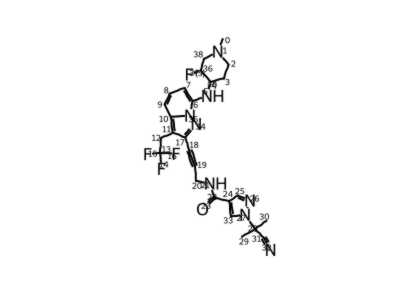 CN1CC[C@@H](Nc2cccc3c(CC(F)(F)F)c(C#CCNC(=O)c4cnn(C(C)(C)C#N)c4)nn23)[C@@H](F)C1